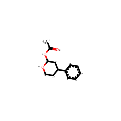 CC(=O)OC1CC(c2ccccc2)C[CH]O1